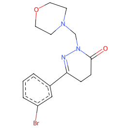 O=C1CCC(c2cccc(Br)c2)=NN1CN1CCOCC1